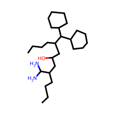 CCCCC(CC(O)CC(CCCC)C(C1CCCCC1)C1CCCCC1)C(N)N